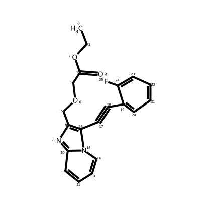 CCOC(=O)COCc1nc2ccccn2c1C#Cc1ccccc1F